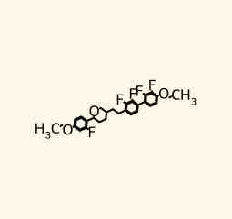 CCOc1ccc(C2CCC(CCc3ccc(-c4ccc(OCC)c(F)c4F)c(F)c3F)CO2)c(F)c1